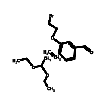 C=C.CCOC(C)OCC.O=Cc1cccc(OCCBr)c1